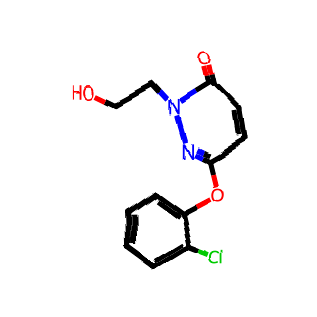 O=c1ccc(Oc2ccccc2Cl)nn1CCO